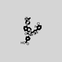 Cc1nnc2n1CCN(c1cccc3c1CCN(C(=O)C1CC(c4cccc(Cl)c4F)=NO1)[C@@H]3C(=O)Nc1ccc(C(=O)O)cc1)C2